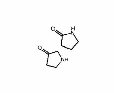 O=C1CCCN1.O=C1CCNC1